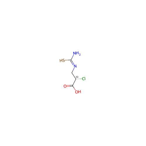 NC(S)=NC[C@H](Cl)C(=O)O